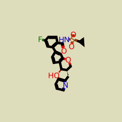 O=C(NS(=O)(=O)C1CC1)c1ccc(F)cc1-c1ccc2c(c1)OC[C@H](Cc1ccccn1)[C@H]2O